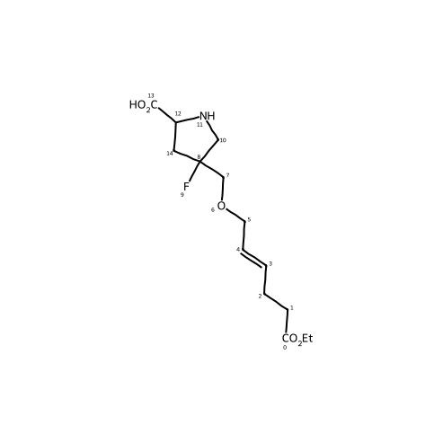 CCOC(=O)CC/C=C/COCC1(F)CNC(C(=O)O)C1